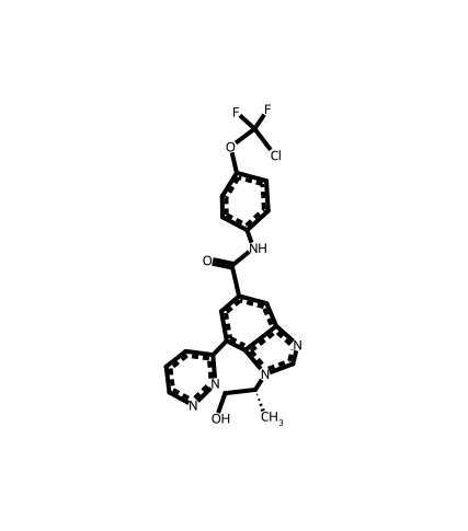 C[C@H](CO)n1cnc2cc(C(=O)Nc3ccc(OC(F)(F)Cl)cc3)cc(-c3cccnn3)c21